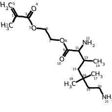 C=C(C)C(=O)OCCOC(=O)C(N)C(C)CC(C)(C)CCN